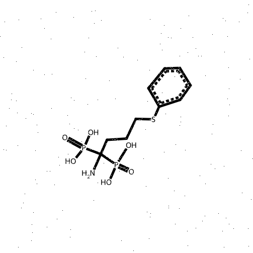 NC(CCCSc1ccccc1)(P(=O)(O)O)P(=O)(O)O